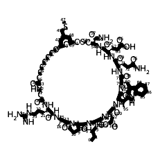 CCCC[C@@H]1NC(=O)[C@@H]2CCCN2C(=O)[C@H](C)NC(=O)[C@H](CCCNC(=N)N)NC(=O)CNC(=O)CCCCCCOc2cc(CSC)cc(c2)CSC[C@@H](C(N)=O)NC(=O)[C@H](CCC(=O)O)NC(=O)[C@H](CCC(N)=O)NC(=O)[C@H](Cc2c[nH]c3ccccc23)NC(=O)[C@H]([C@@H](C)CC)NC(=O)[C@H](CC(=O)O)NC1=O